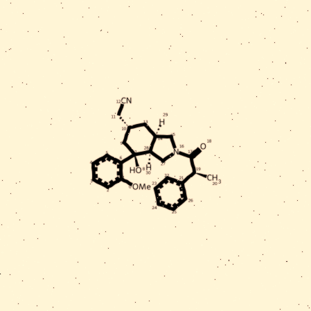 COc1ccccc1[C@]1(O)C[C@H](CC#N)C[C@H]2CN(C(=O)[C@@H](C)c3ccccc3)C[C@H]21